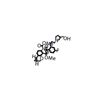 COC(=O)c1c(N(C(=O)OC)S(=O)(=O)c2ccc(F)cc2/C=C\CN2CC[C@@H](CO)C2)ccc2c1OC[C@@H]1C[C@H]21